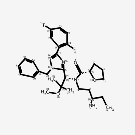 CC[C@@H](N)CCN(C(=O)[C@@H]1CCCO1)[C@@H](c1nc(-c2cc(F)ccc2F)nn1Cc1ccccc1)C(C)(C)OC